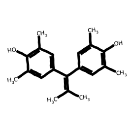 CC(C)=C(c1cc(C)c(O)c(C)c1)c1cc(C)c(O)c(C)c1